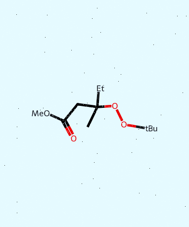 CCC(C)(CC(=O)OC)OOC(C)(C)C